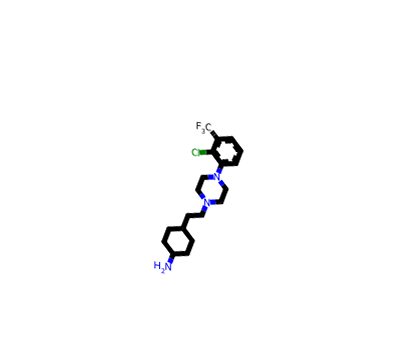 NC1CCC(CCN2CCN(c3cccc(C(F)(F)F)c3Cl)CC2)CC1